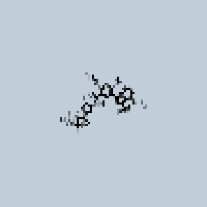 [2H]COc1nc(C)c(-c2cc(C(F)(F)F)c3c(N)ncnn23)cc1C(=O)N[C@@H]1CN(C(=O)[C@@](C)(O)C(F)(F)F)C[C@@H]1F